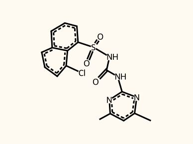 Cc1cc(C)nc(NC(=O)NS(=O)(=O)c2cccc3cccc(Cl)c23)n1